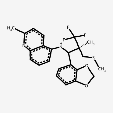 CSC[C@@](C)(C(Nc1cccc2nc(C)ccc12)c1cccc2c1OCO2)C(F)(F)F